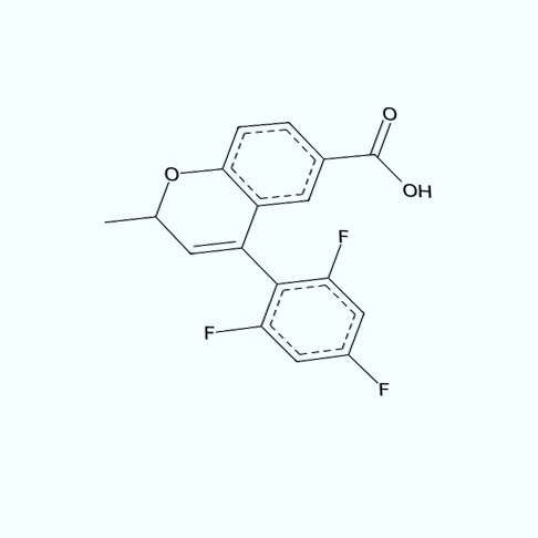 CC1C=C(c2c(F)cc(F)cc2F)c2cc(C(=O)O)ccc2O1